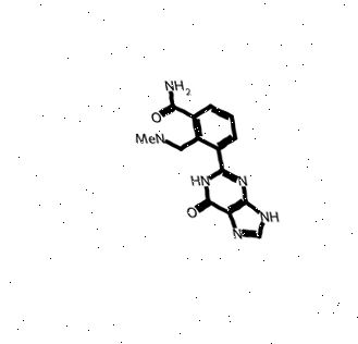 CNCc1c(C(N)=O)cccc1-c1nc2[nH]cnc2c(=O)[nH]1